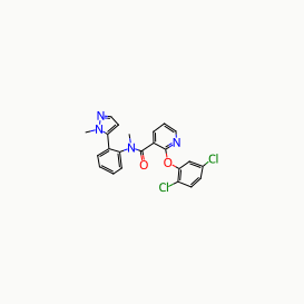 CN(C(=O)c1cccnc1Oc1cc(Cl)ccc1Cl)c1ccccc1-c1ccnn1C